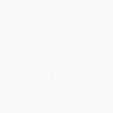 C[C@H](Nc1nc(Cl)nc2c1ccn2[C@@H]1O[C@H](CS(=O)(=O)CP(=O)(O)O)[C@@H](O)[C@H]1O)c1ccc(C#N)cc1